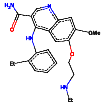 CCNCCOc1cc2c(Nc3ccccc3CC)c(C(N)=O)cnc2cc1OC